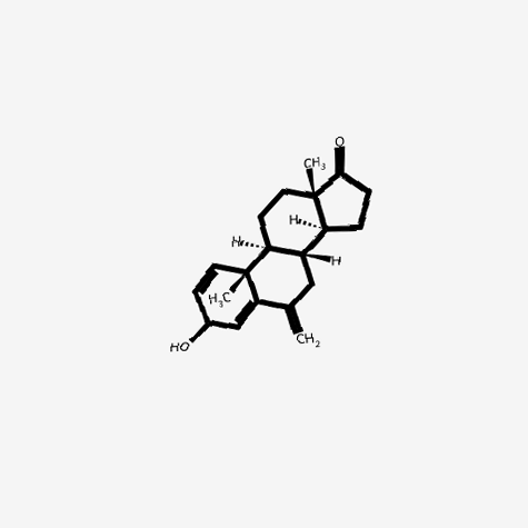 C=C1C[C@@H]2[C@H](CC[C@]3(C)C(=O)CC[C@@H]23)[C@@]2(C)C=CC(O)C=C12